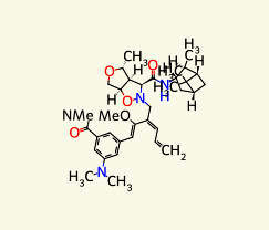 C=C/C=C(CN1O[C@H]2CO[C@H](C)[C@H]2[C@H]1C(=O)N[C@H]1C[C@H]2C[C@@H]([C@@H]1C)C2(C)C)\C(=C\c1cc(C(=O)NC)cc(N(C)C)c1)OC